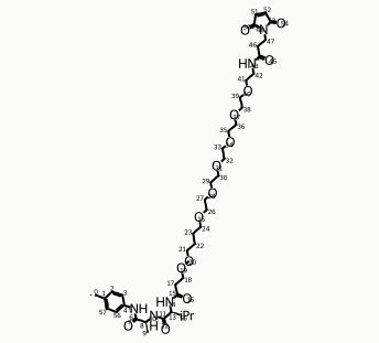 [CH2]c1ccc(NC(=O)[C@H](C)NC(=O)[C@@H](NC(=O)CCOOCCCCOCCOCCOCCOCCOCCOCCNC(=O)CCN2C(=O)C=CC2=O)C(C)C)cc1